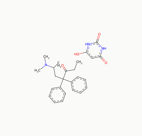 CCC(=O)C(CC(C)N(C)C)(c1ccccc1)c1ccccc1.O=c1cc(O)[nH]c(=O)[nH]1